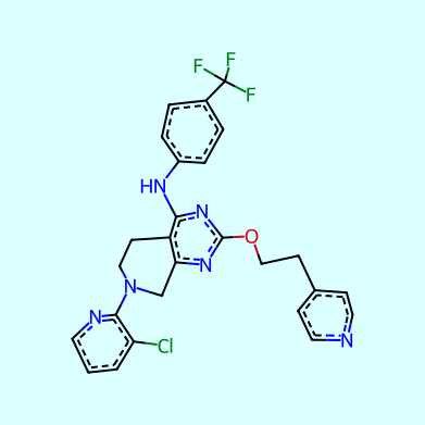 FC(F)(F)c1ccc(Nc2nc(OCCc3ccncc3)nc3c2CCN(c2ncccc2Cl)C3)cc1